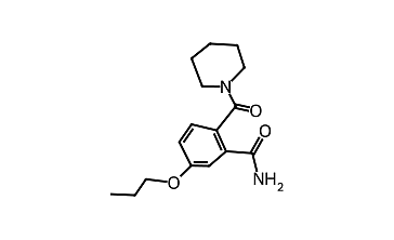 CCCOc1ccc(C(=O)N2CCCCC2)c(C(N)=O)c1